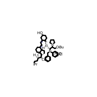 C=C1CC[C@H](O)C/C1=C/C=C1\CCC[C@]2(C)[C@@H]([C@H](C)CCCC(C)C)CC[C@@H]12.CC(C)COCC(CN(Cc1ccccc1)c1ccccc1)N1CCCC1.Cl.O